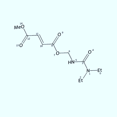 CCN(CC)C(=O)NCOC(=O)/C=C/C(=O)OC